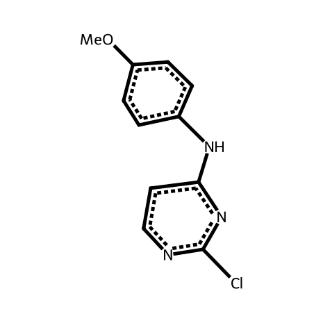 COc1ccc(Nc2ccnc(Cl)n2)cc1